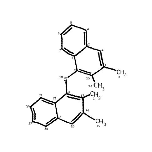 Cc1cc2ccccc2c(Sc2c(C)c(C)cc3ccccc23)c1C